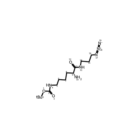 CC(C)(C)OC(=O)NCCCC[C@@H](N)C(=O)NCCCN=[N+]=[N-]